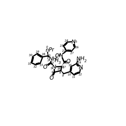 CCC[C@@H](NC(=O)N1C(=O)[C@H](Cc2ccnc(N)c2)[C@H]1C(=O)N(C)c1ccncc1)c1ccccc1